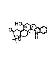 CC1(C)O[C@@]23CCC4(C)C(=C2CC(=O)C1O3)[C@@H](O)CC1Cc2c([nH]c3ccccc23)[C@@]14C